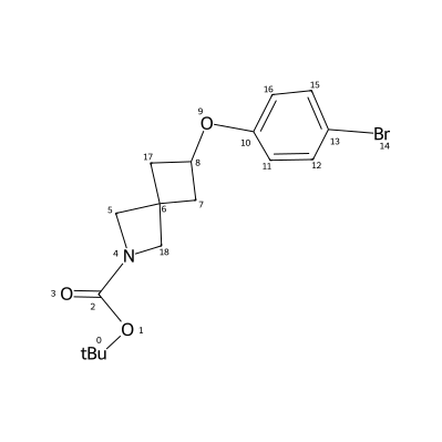 CC(C)(C)OC(=O)N1CC2(CC(Oc3ccc(Br)cc3)C2)C1